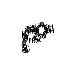 CC[C@H]1OC(=O)[C@H](C)[C@@H](C2C[C@@](C)(OC)[C@@H](O)[C@H](C)O2)[C@H](C)[C@@H](O[C@@H]2O[C@H](C)C[C@H](N(C)CCc3cn(CCCOc4ccc(S(C)(=O)=O)cc4)nn3)[C@H]2O)[C@](C)(OC)C[C@@H](C)C(=O)[C@H](C)[C@@H](O)[C@]1(C)O